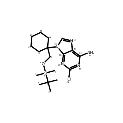 CC(C)(C)[Si](C)(C)OCC1(n2cnc3c(N)nc(Cl)nc32)CCCCC1